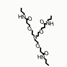 CCCNC(=O)CCOCCN(CCOCCC(=O)NCCC)CCOCCC(=O)NCCC